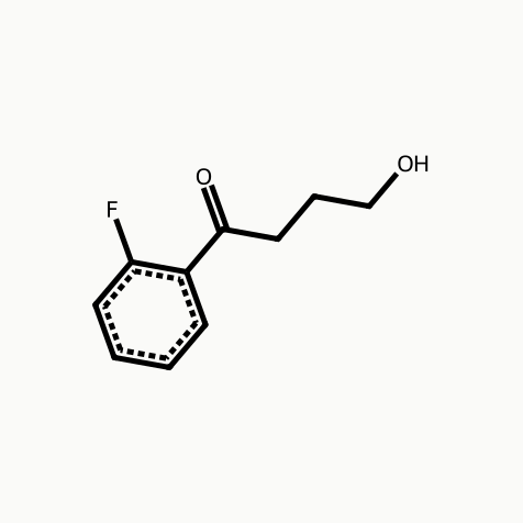 O=C(CCCO)c1ccccc1F